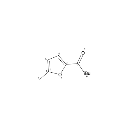 CCC(C)C(=O)c1ccc(C)o1